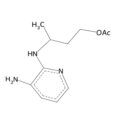 CC(=O)OCCC(C)Nc1ncccc1N